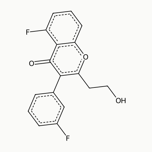 O=c1c(-c2cccc(F)c2)c(CCO)oc2cccc(F)c12